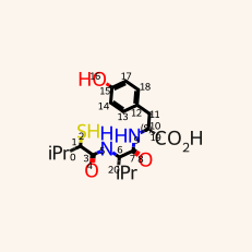 CC(C)C(S)C(=O)NC(C(=O)N[C@@H](Cc1ccc(O)cc1)C(=O)O)C(C)C